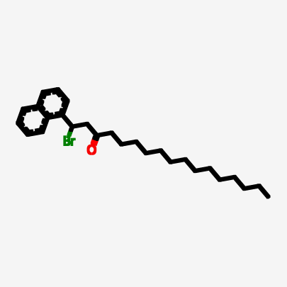 CCCCCCCCCCCCCCC(=O)CC(Br)c1cccc2ccccc12